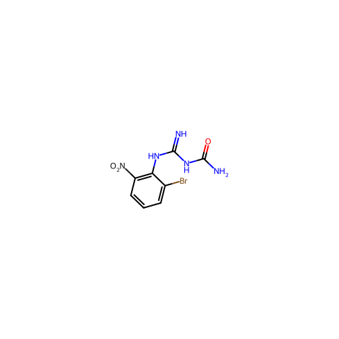 N=C(NC(N)=O)Nc1c(Br)cccc1[N+](=O)[O-]